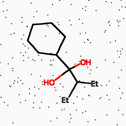 CCC(CC)C(O)(O)C1CCCCC1